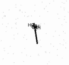 CCCCCCCCCCCCCCCCCCSC[C@H](NC(C)=O)C(=O)N[C@@H](CC(C)C)C(=O)O